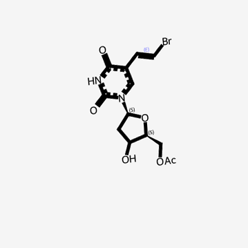 CC(=O)OC[C@@H]1O[C@H](n2cc(/C=C/Br)c(=O)[nH]c2=O)CC1O